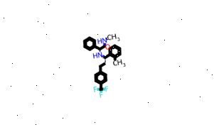 CNC(=O)[C@H](N[C@@H](CCc1ccc(C(F)(F)F)cc1)c1ccccc1C)c1ccccc1